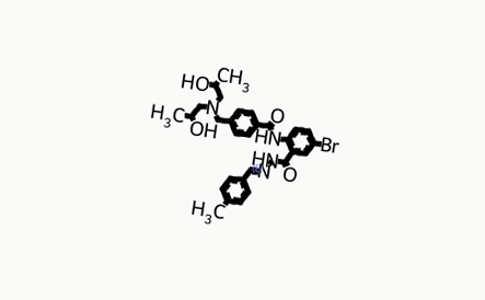 Cc1ccc(/C=N/NC(=O)c2cc(Br)ccc2NC(=O)c2ccc(CN(CC(C)O)CC(C)O)cc2)cc1